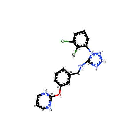 Clc1cccc(-n2nnnc2NCc2cccc(Oc3ncccn3)c2)c1Cl